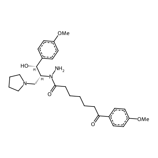 COc1ccc(C(=O)CCCCCC(=O)N(N)[C@H](CN2CCCC2)[C@H](O)c2ccc(OC)cc2)cc1